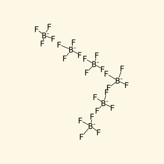 F[B-](F)(F)F.F[B-](F)(F)F.F[B-](F)(F)F.F[B-](F)(F)F.F[B-](F)(F)F.F[B-](F)(F)F